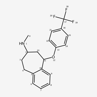 CNC1CCc2ccccc2C(Oc2ccc(C(F)(F)F)cc2)C1